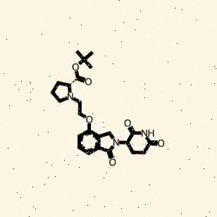 CC(C)(C)OC(=O)[C@H]1CCCN1CCOc1cccc2c1CN(C1CCC(=O)NC1=O)C2=O